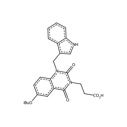 CC(C)COc1ccc2c(c1)c(=O)n(CCC(=O)O)c(=O)n2Cc1c[nH]c2ccccc12